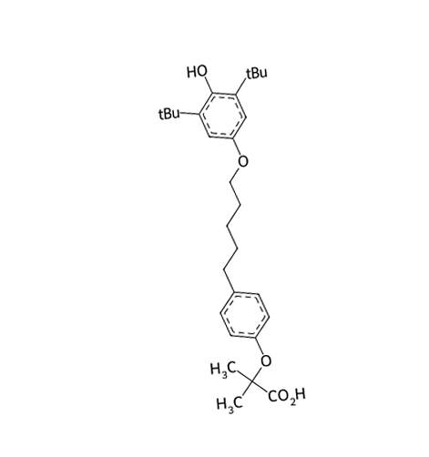 CC(C)(Oc1ccc(CCCCCOc2cc(C(C)(C)C)c(O)c(C(C)(C)C)c2)cc1)C(=O)O